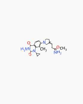 CO[C@H](N)CC[C@@H]1CCN(c2ccc3c(=O)n(N)c(=O)n(C4CC4)c3c2C)C1